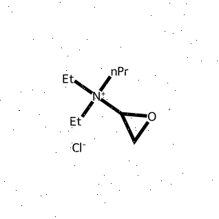 CCC[N+](CC)(CC)C1CO1.[Cl-]